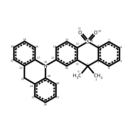 CC1(C)c2ccccc2S(=O)(=O)c2ccc(N3c4ccccc4Cc4ccccc43)cc21